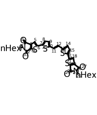 CCCCCCN1C(=O)c2cc(-c3ccc(/C=C/c4ccc(-c5cc6c(s5)C(=O)N(CCCCCC)C6=O)s4)s3)sc2C1=O